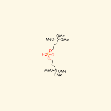 CO[Si](CCCOP(=O)(O)OCCC[Si](OC)(OC)OC)(OC)OC